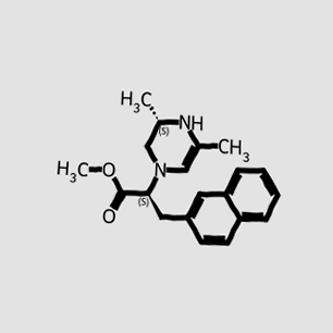 COC(=O)[C@H](Cc1ccc2ccccc2c1)N1C=C(C)N[C@@H](C)C1